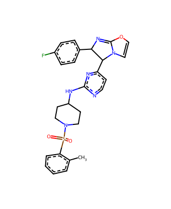 Cc1ccccc1S(=O)(=O)N1CCC(Nc2nccc(C3C(c4ccc(F)cc4)N=C4OC=CN43)n2)CC1